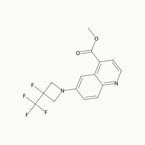 COC(=O)c1ccnc2ccc(N3CC(F)(C(F)(F)F)C3)cc12